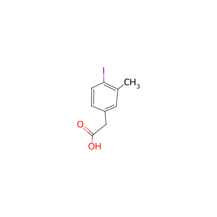 Cc1cc(CC(=O)O)ccc1I